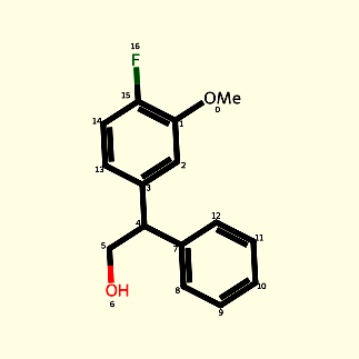 COc1cc(C(CO)c2ccccc2)ccc1F